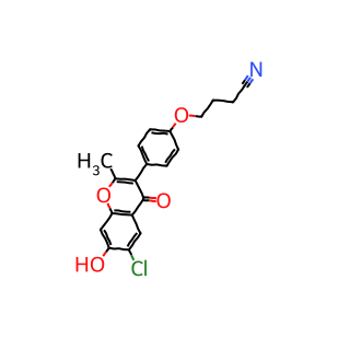 Cc1oc2cc(O)c(Cl)cc2c(=O)c1-c1ccc(OCCCC#N)cc1